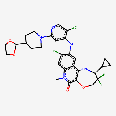 Cn1c(=O)c2c(c3cc(Nc4cc(N5CCC(C6OCCO6)CC5)ncc4Cl)c(F)cc31)N[C@@H](C1CC1)C(F)(F)CO2